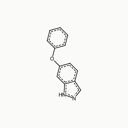 c1ccc(Oc2ccc3cn[nH]c3c2)cc1